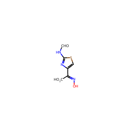 O=CNc1nc(/C(=N/O)C(=O)O)cs1